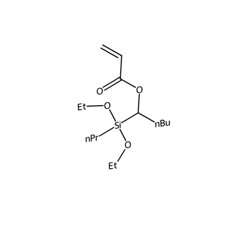 C=CC(=O)OC(CCCC)[Si](CCC)(OCC)OCC